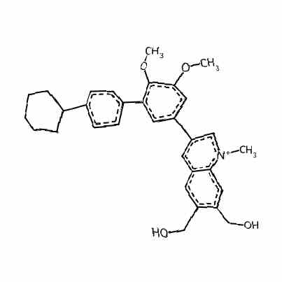 COc1cc(-c2cc3cc(CO)c(CO)cc3[n+](C)c2)cc(-c2ccc(C3CCCCC3)cc2)c1OC